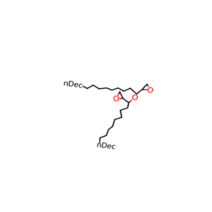 CCCCCCCCCCCCCCCCCCC(OC(CCCCCCCCCCCCCCCCCC)C1CO1)C1CO1